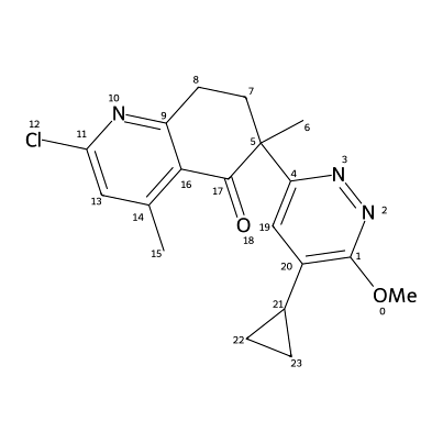 COc1nnc(C2(C)CCc3nc(Cl)cc(C)c3C2=O)cc1C1CC1